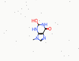 Cn1cnc2c1NC(O)NC2=O